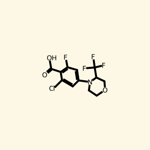 O=C(O)c1c(F)cc(N2CCOCC2C(F)(F)F)cc1Cl